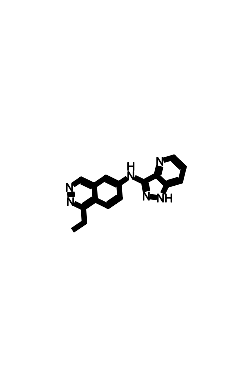 CCc1nncc2cc(Nc3n[nH]c4cccnc34)ccc12